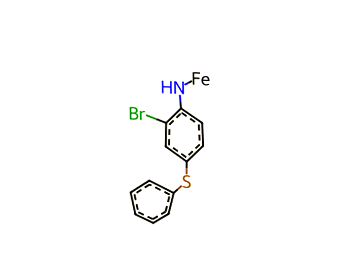 [Fe][NH]c1ccc(Sc2ccccc2)cc1Br